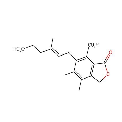 C/C(=C\Cc1c(C)c(C)c2c(c1C(=O)O)C(=O)OC2)CCC(=O)O